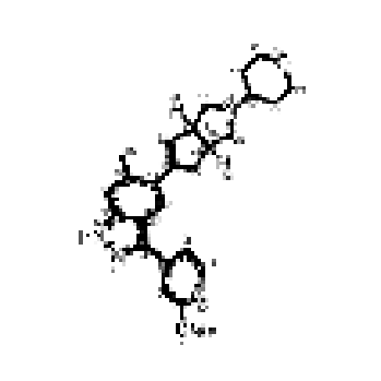 COc1cc(-c2n[nH]c3cc(C)c(C4=C[C@@H]5CN(C6CCOCC6)C[C@@H]5C4)cc23)ccn1